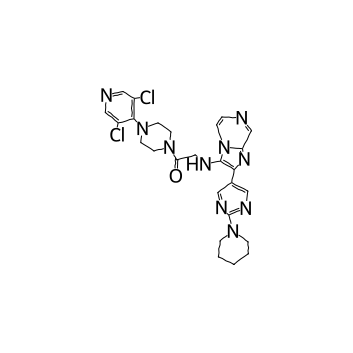 O=C(CNc1c(-c2cnc(N3CCCCC3)nc2)nc2cnccn12)N1CCN(c2c(Cl)cncc2Cl)CC1